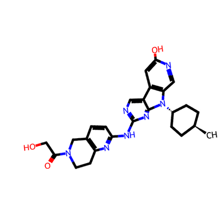 C[C@H]1CC[C@H](n2c3cnc(O)cc3c3cnc(Nc4ccc5c(n4)CCN(C(=O)CO)C5)nc32)CC1